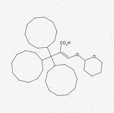 O=C(O)C(=COC1CCCCO1)C(C1CCCCCCCCC1)(C1CCCCCCCCC1)C1CCCCCCCCC1